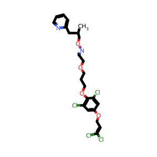 CC(CON=CCOCCCOc1c(Cl)cc(OCC=C(Cl)Cl)cc1Cl)Cc1ccccn1